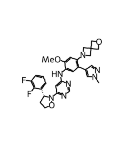 COc1cc(N2CC3(COC3)C2)c(-c2cnn(C)c2)cc1Nc1cc(N2OCC[C@@H]2c2cccc(F)c2F)ncn1